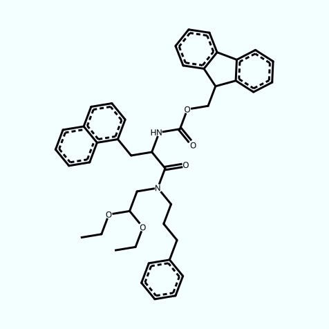 CCOC(CN(CCCc1ccccc1)C(=O)C(Cc1cccc2ccccc12)NC(=O)OCC1c2ccccc2-c2ccccc21)OCC